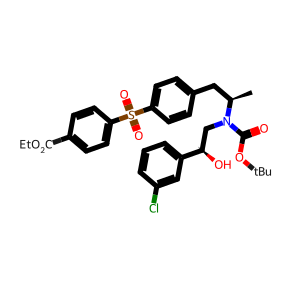 CCOC(=O)c1ccc(S(=O)(=O)c2ccc(C[C@@H](C)N(C[C@@H](O)c3cccc(Cl)c3)C(=O)OC(C)(C)C)cc2)cc1